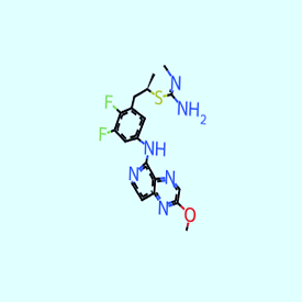 C/N=C(/N)S[C@H](C)Cc1cc(Nc2nccc3nc(OC)cnc23)cc(F)c1F